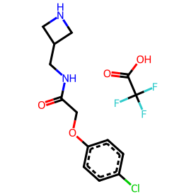 O=C(COc1ccc(Cl)cc1)NCC1CNC1.O=C(O)C(F)(F)F